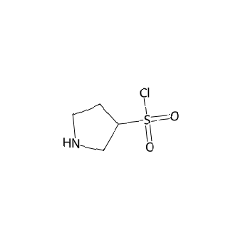 O=S(=O)(Cl)C1CCNC1